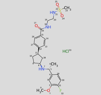 COc1cc([C@@H](C)N[C@H]2CC[C@@H](c3ccc(C(=O)NCCNS(C)(=O)=O)cc3)C2)ccc1F.Cl